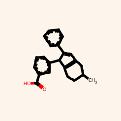 CC1CCC2=C(C=C(c3ccccc3)C2c2cccc(C(=O)O)c2)C1